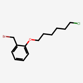 ClCCCCCCOc1ccccc1CBr